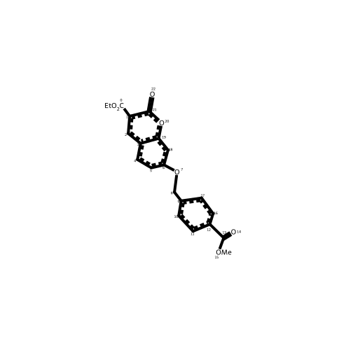 CCOC(=O)c1cc2ccc(OCc3ccc(C(=O)OC)cc3)cc2oc1=O